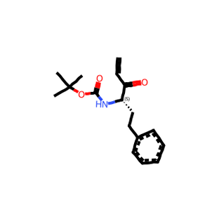 C=CC(=O)[C@H](CCc1ccccc1)NC(=O)OC(C)(C)C